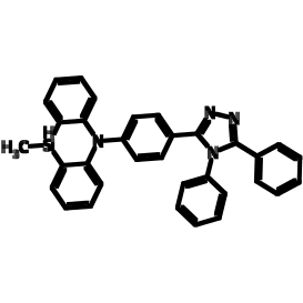 C[SiH]1c2ccccc2N(c2ccc(-c3nnc(-c4ccccc4)n3-c3ccccc3)cc2)c2ccccc21